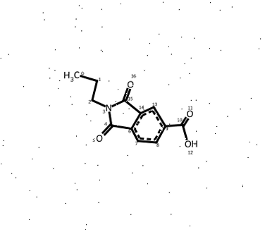 CCCN1C(=O)c2ccc(C(=O)O)cc2C1=O